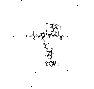 CNC(=O)OCc1ccc(NC(=O)[C@H](CCCNC(N)=O)NC(=O)[C@@H](NC(C)=O)C(C)C)cc1OCCCCCCN1C(=O)C=C(SC[C@H](NC(C)=O)C(=O)O)C1=O